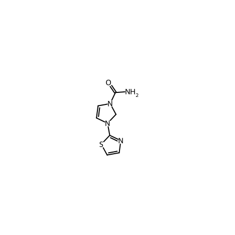 NC(=O)N1C=CN(c2nccs2)C1